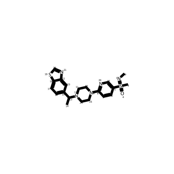 CN=S(C)(=O)c1ccc(N2CCN(C(C)c3ccc4scnc4c3)CC2)nc1